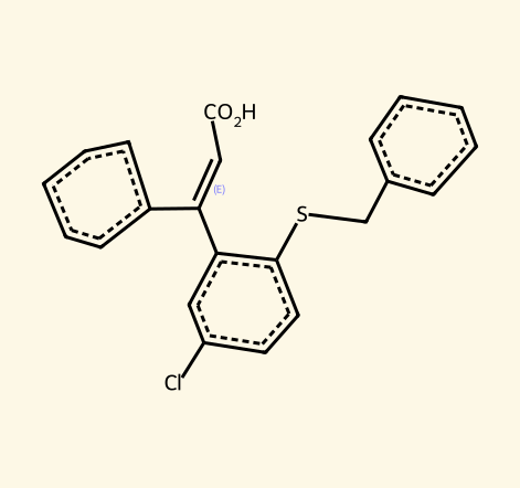 O=C(O)/C=C(\c1ccccc1)c1cc(Cl)ccc1SCc1ccccc1